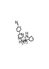 CN1c2ccccc2NC1c1nc(-c2ccc(C#N)cc2)cnc1N